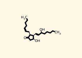 CCCC/C=C\C[C@@H]1C(=O)C[C@@H](O)[C@@H]1/C=C/[C@@H](O)CCCCC